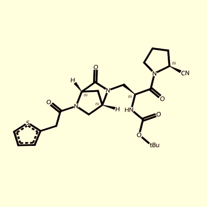 CC(C)(C)OC(=O)N[C@@H](CN1C(=O)[C@@H]2C[C@H]1CN2C(=O)Cc1cccs1)C(=O)N1CCC[C@H]1C#N